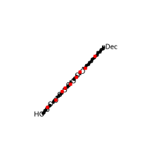 CCCCCCCCCCCCCCCCCCCCCCCCOCCOCCOCCOCCOCCOCCOCCOCCOCCO